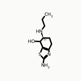 CCCN[C@H]1CCc2nc(N)sc2C1O